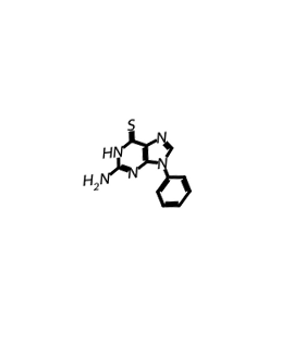 Nc1nc2c(ncn2-c2ccccc2)c(=S)[nH]1